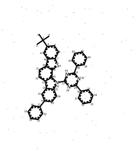 CC(C)(C)c1ccc2sc3c(ccc4c5cc(-c6ccccc6)ccc5n(-c5nc(-c6ccccc6)nc(-c6ccccc6)n5)c43)c2c1